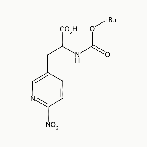 CC(C)(C)OC(=O)NC(Cc1ccc([N+](=O)[O-])nc1)C(=O)O